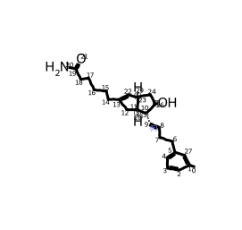 Cc1cccc(CC/C=C/[C@@H]2[C@H]3CC(CCCCCC(N)=O)=C[C@H]3C[C@H]2O)c1